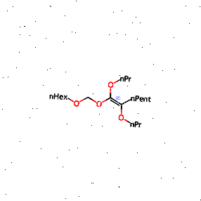 CCCCCCOCO/C(OCCC)=C(/CCCCC)OCCC